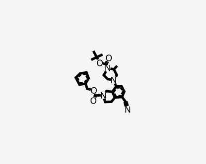 CC1CN(c2ccc(C#N)c3c2CN(C(=O)OCc2ccccc2)CC3)CCN1C(=O)OC(C)(C)C